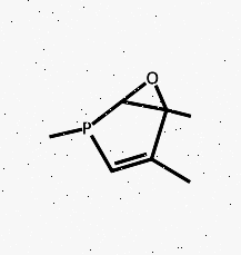 CC1=CP(C)C2OC12C